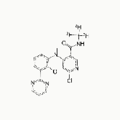 [2H]C([2H])([2H])NC(=O)c1cnc(Cl)cc1Nc1cccc(-c2ncccn2)c1OC